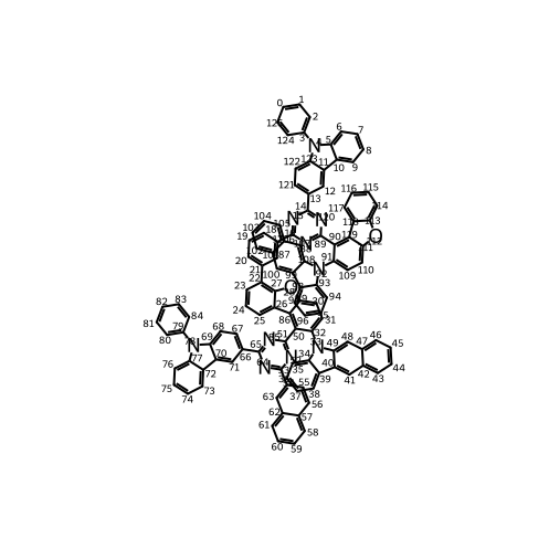 c1ccc(-n2c3ccccc3c3cc(-c4nc(-c5cccc(-c6cccc7c6oc6ccc(-n8c9ccccc9c9cc%10ccccc%10cc98)c(-c8nc(-c9ccc%10ccccc%10c9)nc(-c9ccc%10c(c9)c9ccccc9n%10-c9ccccc9)n8)c67)c5)nc(-c5c(-n6c7ccccc7c7cc8ccccc8cc76)ccc6oc7ccccc7c56)n4)ccc32)cc1